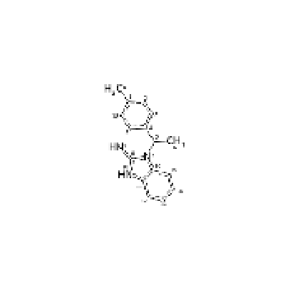 Cc1ccc(C(C)n2c(=N)[nH]c3ccccc32)cc1